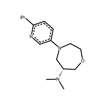 CC(C)c1ccc(N2CCOC[C@H](N(C)C)C2)cn1